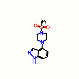 CC(C)S(=O)(=O)N1CCN(c2cccc3[nH]ncc23)CC1